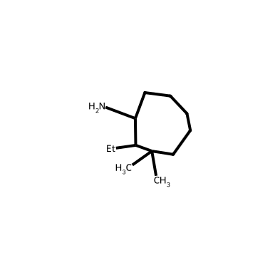 CCC1C(N)CCCCCC1(C)C